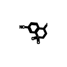 N#Cc1ccc2c(c1)S(=O)(=O)CCC2I